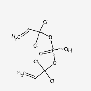 C=CC(Cl)(Cl)OP(=O)(O)OC(Cl)(Cl)C=C